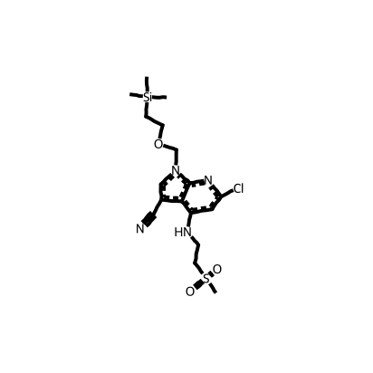 C[Si](C)(C)CCOCn1cc(C#N)c2c(NCCS(C)(=O)=O)cc(Cl)nc21